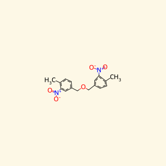 Cc1ccc(COCc2ccc(C)c([N+](=O)[O-])c2)cc1[N+](=O)[O-]